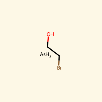 OCCBr.[AsH3]